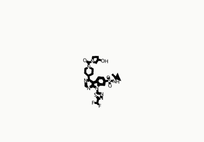 CC1(NS(=O)(=O)c2ccc3c4c(C5CCN(C(=O)N6CCC(O)C6)CC5)ncnc4n(-c4nnc(C(F)F)s4)c3c2)CC1